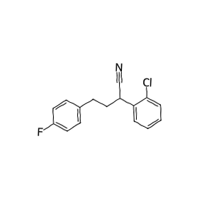 N#CC(CCc1ccc(F)cc1)c1ccccc1Cl